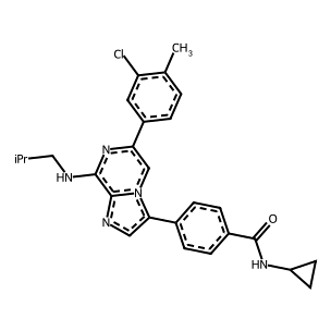 Cc1ccc(-c2cn3c(-c4ccc(C(=O)NC5CC5)cc4)cnc3c(NCC(C)C)n2)cc1Cl